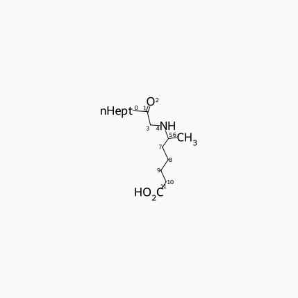 CCCCCCCC(=O)CNC(C)CCCCC(=O)O